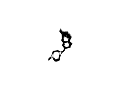 Cc1ccc2ccc(CN3CCN(C)CC3)cc2c1